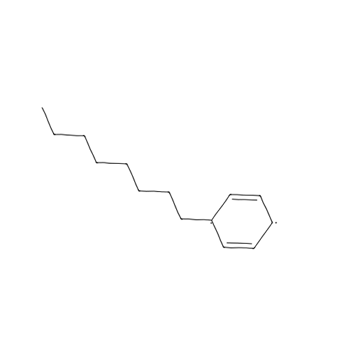 CCCCCCCC[C]1C=C[CH]C=C1